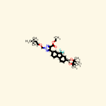 CCOC(=O)c1nn(COCC[Si](C)(C)C)nc1-c1ccc2c(c1)C(F)(F)c1cc(B3OC(C)(C)C(C)(C)O3)ccc1-2